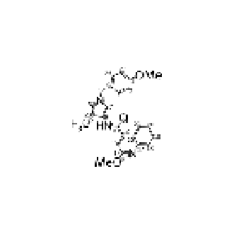 COc1ccc(Cn2cc(NC(=O)c3cc(OC)nc4ccccc34)c(C(F)(F)F)n2)cc1